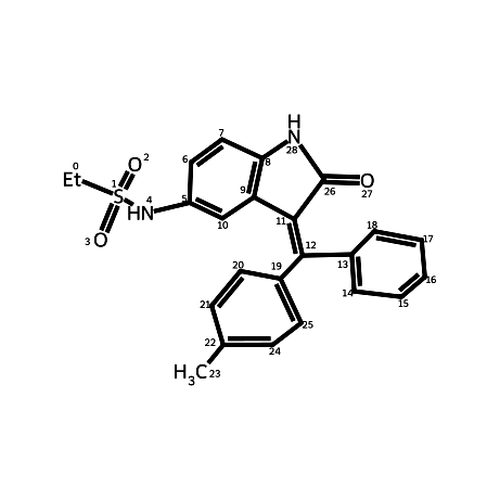 CCS(=O)(=O)Nc1ccc2c(c1)C(=C(c1ccccc1)c1ccc(C)cc1)C(=O)N2